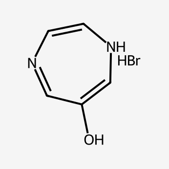 Br.OC1=CNC=CN=C1